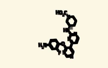 Nc1ccc(Oc2ncncc2-c2ccnc(N[C@H]3CCCN(C(=O)O)C3)n2)c(F)c1